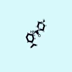 CC(C)[C@@H]1CCC[C@@H](NC(=O)N2CCN(C)CC2)C1